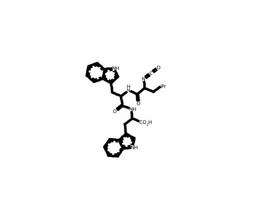 CC(C)CC(N=C=O)C(=O)NC(Cc1c[nH]c2ccccc12)C(=O)NC(Cc1c[nH]c2ccccc12)C(=O)O